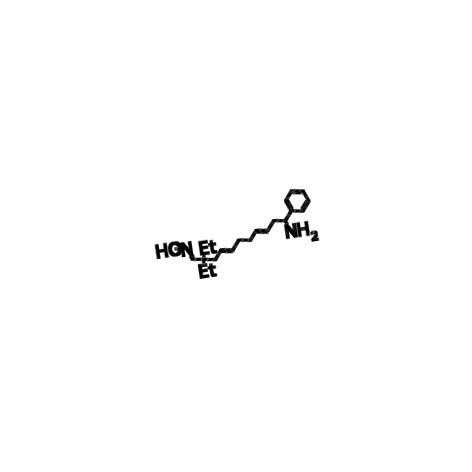 CCC(C=NO)(CC)CC=CCCC=CCC(N)c1ccccc1